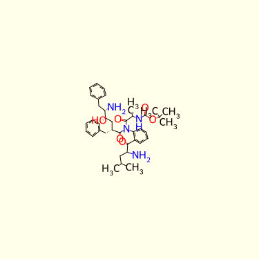 CC(C)CC(N)C(=O)c1ccccc1N(C(=O)C(C)NC(=O)OC(C)(C)C)C(=O)[C@H](Cc1ccccc1)C[C@H](O)[C@@H](N)Cc1ccccc1